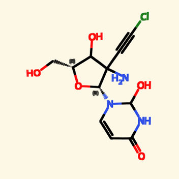 NC1(C#CCl)C(O)[C@@H](CO)O[C@H]1N1C=CC(=O)NC1O